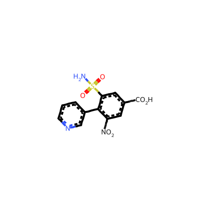 NS(=O)(=O)c1cc(C(=O)O)cc([N+](=O)[O-])c1-c1cccnc1